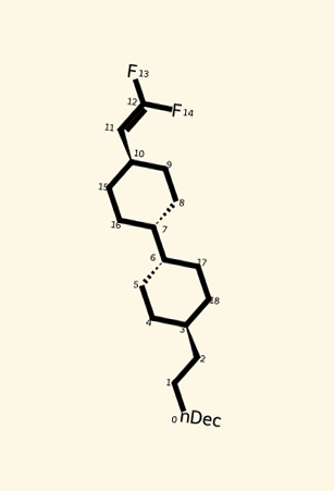 CCCCCCCCCCCC[C@H]1CC[C@H]([C@H]2CC[C@H](C=C(F)F)CC2)CC1